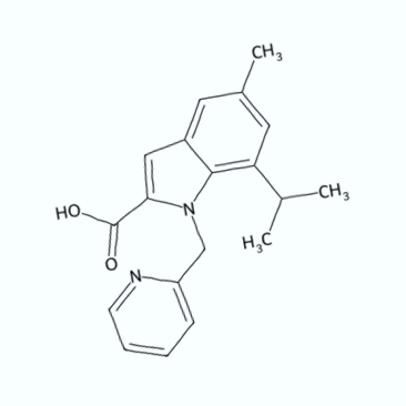 Cc1cc(C(C)C)c2c(c1)cc(C(=O)O)n2Cc1ccccn1